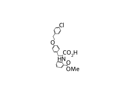 COC(=O)c1ccccc1NC(Cc1ccc(OCCc2ccc(Cl)cc2)cc1)C(=O)O